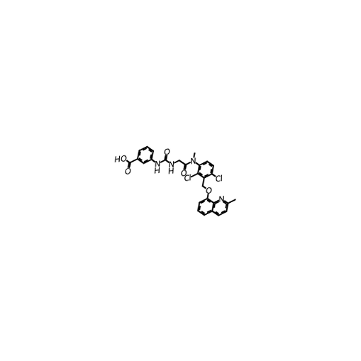 Cc1ccc2cccc(OCc3c(Cl)ccc(N(C)C(=O)CNC(=O)Nc4cccc(C(=O)O)c4)c3Cl)c2n1